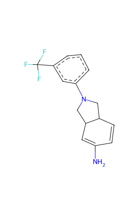 NC1=CC2CN(c3cccc(C(F)(F)F)c3)CC2C=C1